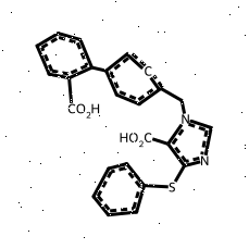 O=C(O)c1ccccc1-c1ccc(Cn2cnc(Sc3ccccc3)c2C(=O)O)cc1